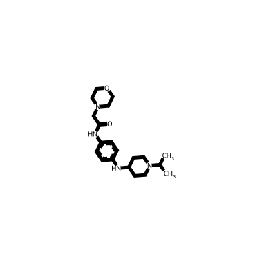 CC(C)N1CCC(Nc2ccc(NC(=O)CN3CCOCC3)cc2)CC1